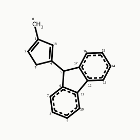 CC1=CCC(C2c3ccccc3-c3ccccc32)=C1